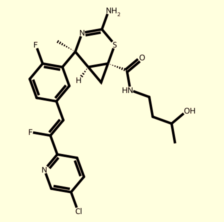 CC(O)CCNC(=O)[C@]12C[C@H]1[C@@](C)(c1cc(/C=C(\F)c3ccc(Cl)cn3)ccc1F)N=C(N)S2